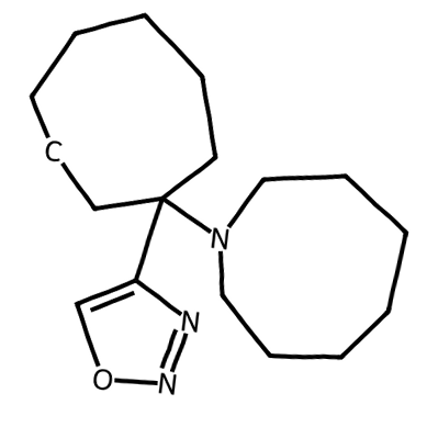 c1onnc1C1(N2CCCCCCC2)CCCCCCC1